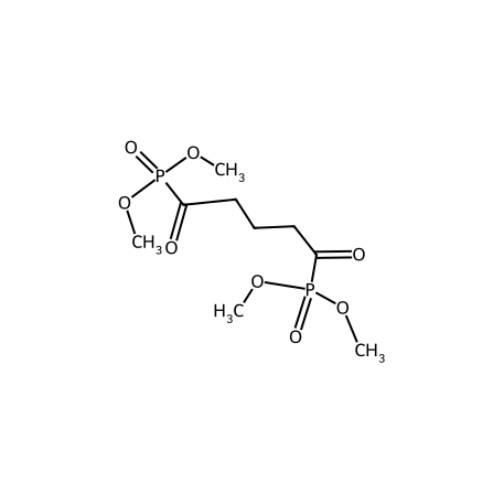 COP(=O)(OC)C(=O)CCCC(=O)P(=O)(OC)OC